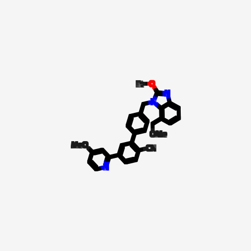 CCOc1nc2cccc(COC)c2n1Cc1ccc(-c2cc(-c3cc(OC)ccn3)ccc2C#N)cc1